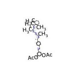 CC(=O)Oc1cc(/C=C/c2ccc([CH]\C=C(C)/C=C/C=C(C)\C=C\C3=C(C)CCCC3(C)C)cc2)cc(OC(C)=O)c1